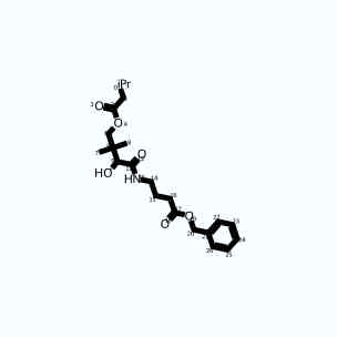 CC(C)CC(=O)OCC(C)(C)C(O)C(=O)NCCCC(=O)OCc1ccccc1